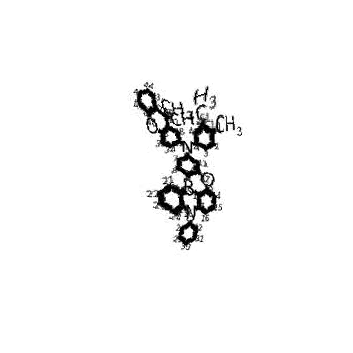 Cc1ccc(N(c2ccc3c(c2)Oc2cccc4c2B3c2ccccc2N4c2ccccc2)c2ccc3c(c2)C(C)(C)c2ccccc2O3)cc1C